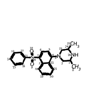 CC1CN(c2ccc(S(=O)(=O)c3ccccc3)c3ccccc23)CC(C)N1